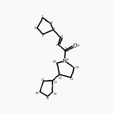 O=C(/C=C/C1CCCC1)N1CCC(C2CCCC2)C1